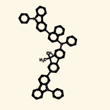 CC1(C)c2cc(-c3ccc4c5ccccc5n(-c5ccccc5)c4c3)ccc2-c2ccc(N(c3ccccc3)c3ccc(-c4ccc5c(c4)c4ccccc4n5-c4ccccc4)c4ccccc34)cc21